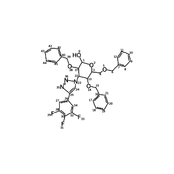 OC1OC(COCc2ccccc2)C(OCc2ccccc2)C(n2cc(-c3cc(F)c(F)c(F)c3)nn2)C1OCc1ccccc1